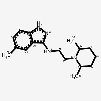 Cc1ccc2[nH]nc(NCCN3C(C)CCCC3C)c2c1